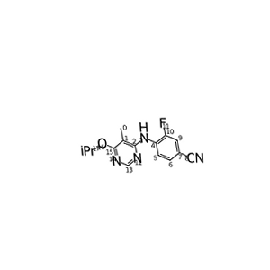 Cc1c(Nc2ccc(C#N)cc2F)ncnc1OC(C)C